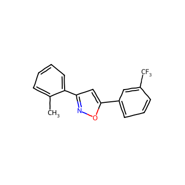 Cc1ccccc1-c1cc(-c2cccc(C(F)(F)F)c2)on1